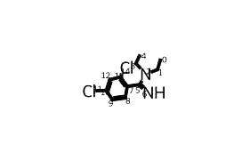 CCN(CC)C(=N)c1ccc(Cl)cc1Cl